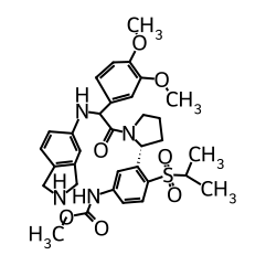 COC(=O)Nc1ccc(S(=O)(=O)C(C)C)c([C@H]2CCCN2C(=O)C(Nc2ccc3c(c2)CNC3)c2ccc(OC)c(OC)c2)c1